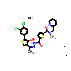 C/C(=N/NC(=O)c1ccc(C(=O)N(C)Cc2ccccn2)s1)c1csc(-c2ccc(Cl)c(Cl)c2)c1O.[KH]